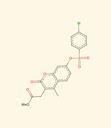 COC(=O)Cc1c(C)c2ccc(OS(=O)(=O)c3ccc(Br)cc3)cc2oc1=O